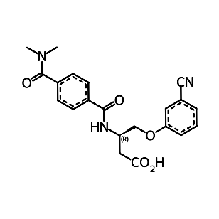 CN(C)C(=O)c1ccc(C(=O)N[C@@H](COc2cccc(C#N)c2)CC(=O)O)cc1